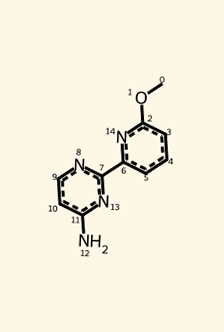 COc1cccc(-c2nccc(N)n2)n1